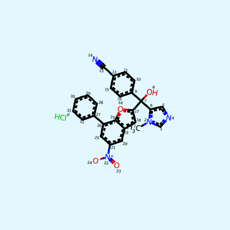 Cl.Cn1cncc1C(O)(c1ccc(C#N)cc1)c1cc2cc([N+](=O)[O-])cc(-c3ccccc3)c2o1